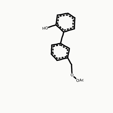 CC(=O)OOCc1cccc(-c2ccccc2O)c1